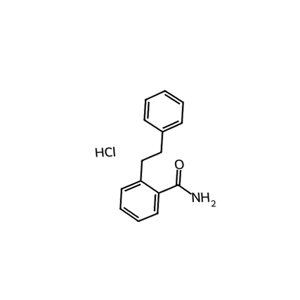 Cl.NC(=O)c1ccccc1CCc1ccccc1